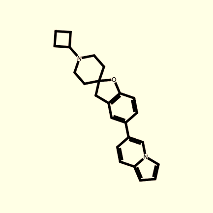 c1cc2ccc(-c3ccc4c(c3)CC3(CCN(C5CCC5)CC3)O4)cn2c1